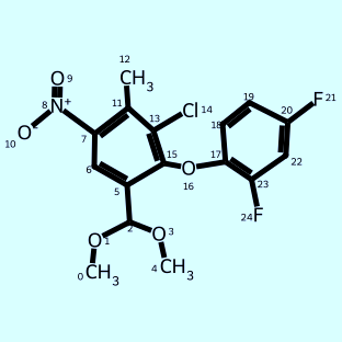 COC(OC)c1cc([N+](=O)[O-])c(C)c(Cl)c1Oc1ccc(F)cc1F